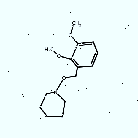 COc1cccc(CON2CC[CH]CC2)c1OC